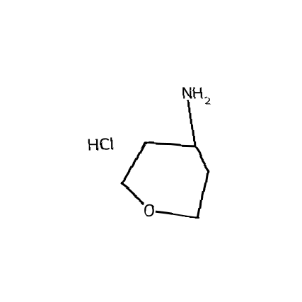 Cl.NC1CCOCC1